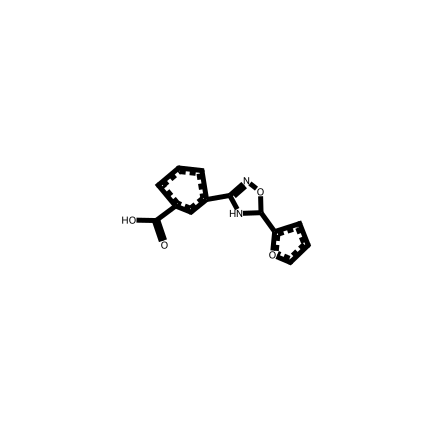 O=C(O)c1cccc(C2=NOC(c3ccco3)N2)c1